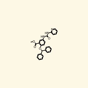 COC(=O)c1cc(NC(=O)Nc2ccccn2)ccc1OC(c1ccccc1)c1ccccc1